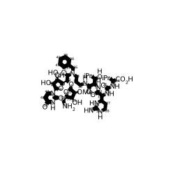 CO[C@@H]1C(OC(C(C(=O)O)N(CCCNC(=O)C(NC(=O)C(NC(=O)NC(C(=O)O)C(C)C)C2CCNC(=N)N2)C(O)C(C)C)Cc2ccccc2)[C@H]2O[C@@H](n3ccc(=O)[nH]c3=O)[C@H](O)[C@H]2O)O[C@H](CN)[C@@H]1O